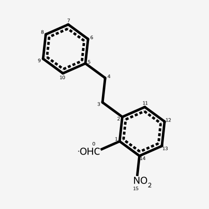 O=[C]c1c(CCc2ccccc2)cccc1[N+](=O)[O-]